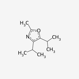 Cc1nc(C(C)C)c(C(C)C)o1